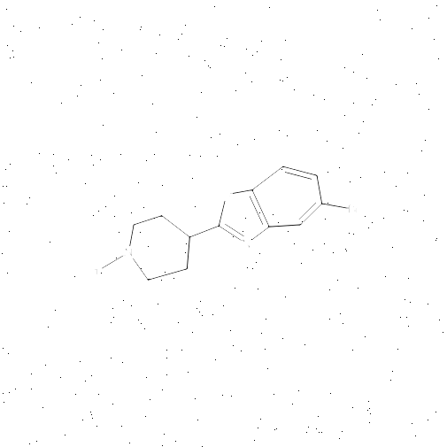 CC(C)N1CCC(c2nc3cc(Br)ccc3o2)CC1